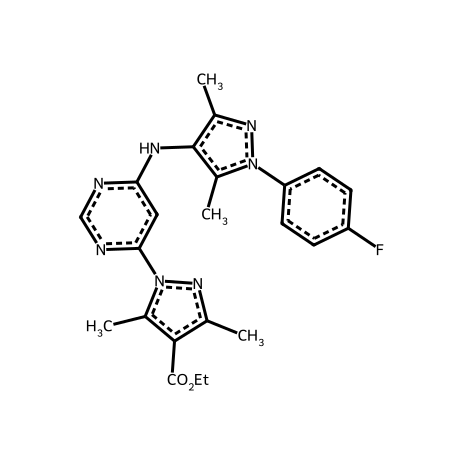 CCOC(=O)c1c(C)nn(-c2cc(Nc3c(C)nn(-c4ccc(F)cc4)c3C)ncn2)c1C